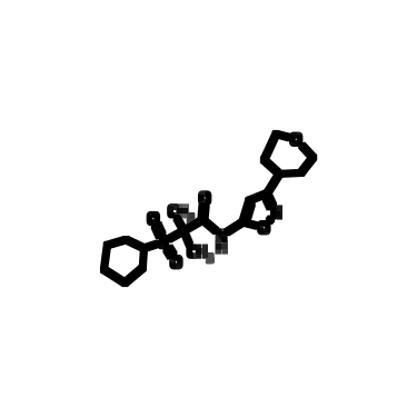 CC(C)(C(=O)Nc1cc(C2CCOCC2)no1)S(=O)(=O)C1CCCCC1